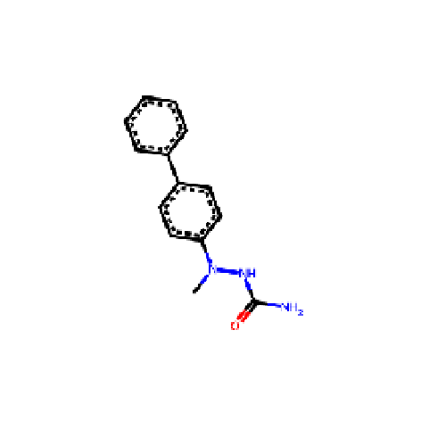 CN(NC(N)=O)c1ccc(-c2ccccc2)cc1